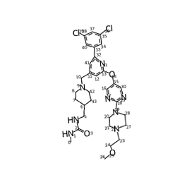 CNC(=O)NCC1CCN(Cc2cc(Oc3cnc(N4CCN(CCOC)CC4)nc3)nc(-c3cc(Cl)cc(Cl)c3)c2)CC1